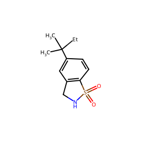 CCC(C)(C)c1ccc2c(c1)CNS2(=O)=O